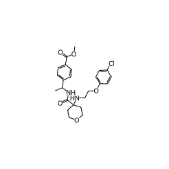 COC(=O)c1ccc(C(C)NC(=O)C2(NCCOc3ccc(Cl)cc3)CCOCC2)cc1